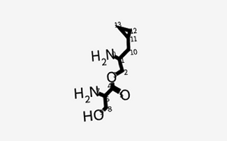 NC(COC(=O)C(N)CO)CC1CC1